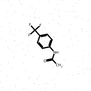 CC(=O)Nc1[c]cc(C(F)(F)F)cc1